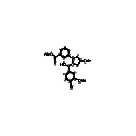 COC(=O)c1cccc([C@H]2CC(OC(C)=O)CN2C(O)c2ccc(Br)c(OC)c2)c1